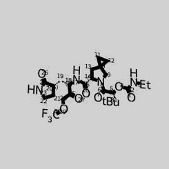 CCNC(=O)O[C@@H](C(=O)N1CC2(CC2)C[C@H]1C(=O)N[C@@H](C[C@@H]1CCNC1=O)C(=O)COC(F)(F)F)C(C)(C)C